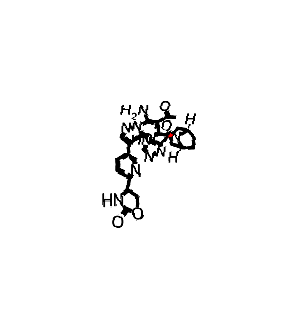 CC(=O)c1c(C2C[C@H]3CC[C@@H](C2)N3C(=O)c2nnc[nH]2)nc2c(-c3ccc(C4COC(=O)N4)nc3)cnn2c1N